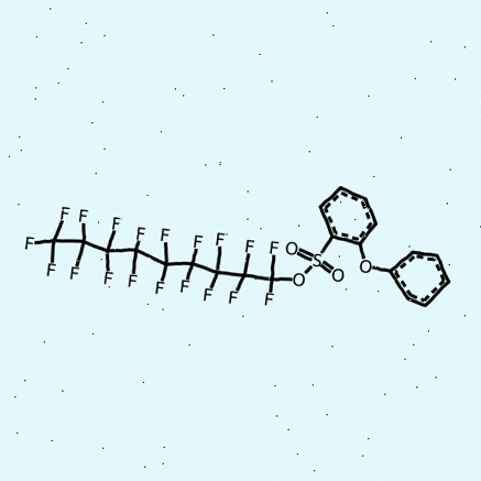 O=S(=O)(OC(F)(F)C(F)(F)C(F)(F)C(F)(F)C(F)(F)C(F)(F)C(F)(F)C(F)(F)C(F)(F)F)c1ccccc1Oc1ccccc1